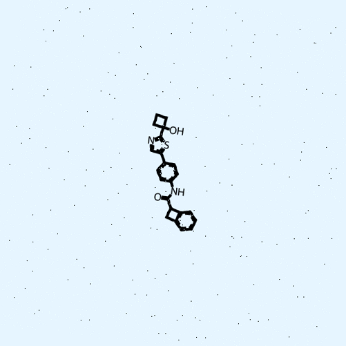 O=C(Nc1ccc(-c2cnc(C3(O)CCC3)s2)cc1)C1Cc2ccccc21